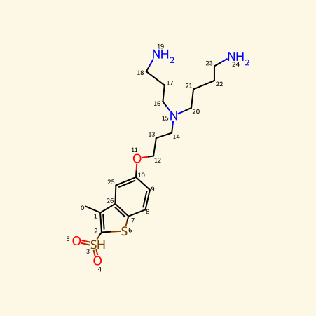 Cc1c([SH](=O)=O)sc2ccc(OCCCN(CCCN)CCCCN)cc12